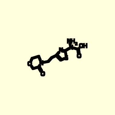 NN(C(=O)O)c1nc(CCN2CCOCC2=O)cs1